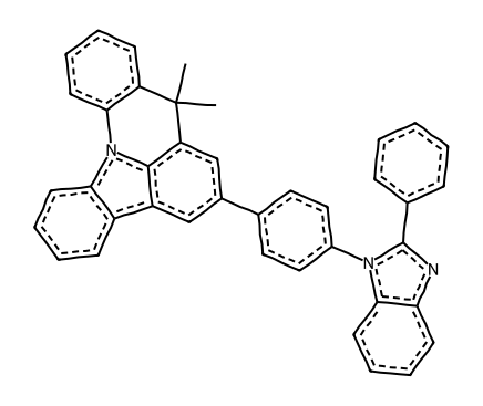 CC1(C)c2ccccc2-n2c3ccccc3c3cc(-c4ccc(-n5c(-c6ccccc6)nc6ccccc65)cc4)cc1c32